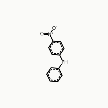 O=[N+]([O-])c1ccc(Pc2ccccc2)cc1